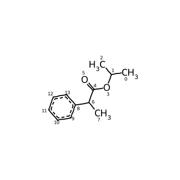 CC(C)OC(=O)C(C)c1ccccc1